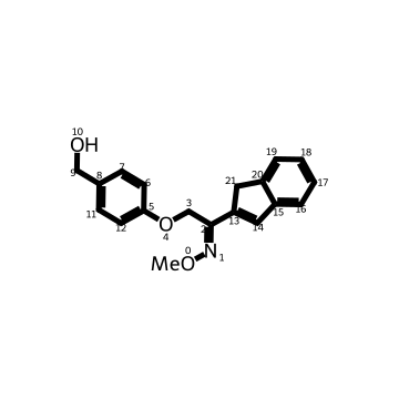 CON=C(COc1ccc(CO)cc1)C1=Cc2ccccc2C1